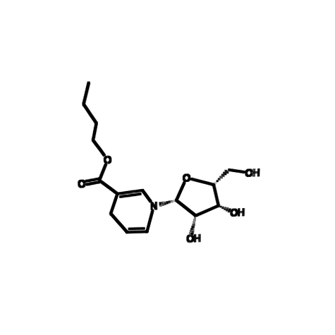 CCCCOC(=O)C1=CN([C@@H]2O[C@H](CO)[C@H](O)[C@@H]2O)C=CC1